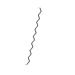 [CH2]CCCCCCCCCCCCCCC[CH2]